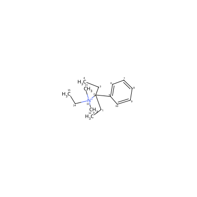 CCC(CC)(c1ccccc1)[N+](C)(C)CC